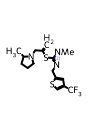 C=C(CN1CCCC1C)S/C(=N\Cc1cc(C(F)(F)F)cs1)NC